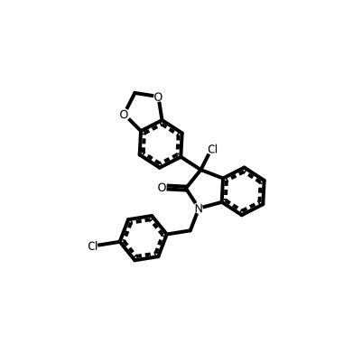 O=C1N(Cc2ccc(Cl)cc2)c2ccccc2C1(Cl)c1ccc2c(c1)OCO2